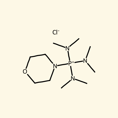 CN(C)[P+](N(C)C)(N(C)C)N1CCOCC1.[Cl-]